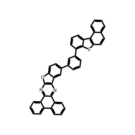 c1cc(-c2ccc3oc4nc5c6ccccc6c6ccccc6c5nc4c3c2)cc(-c2cccc3c2sc2ccc4ccccc4c23)c1